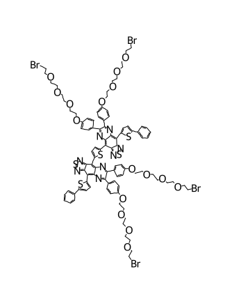 BrCCOCCOCCOCCOc1ccc(-c2nc3c(-c4ccc(-c5ccccc5)s4)c4nsnc4c(-c4ccc(-c5c6nsnc6c(-c6ccc(-c7ccccc7)s6)c6nc(-c7ccc(OCCOCCOCCOCCBr)cc7)c(-c7ccc(OCCOCCOCCOCCBr)cc7)nc56)s4)c3nc2-c2ccc(OCCOCCOCCOCCBr)cc2)cc1